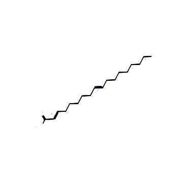 CCCCCCCC/C=C/CCCCC/C=C/C(=O)O